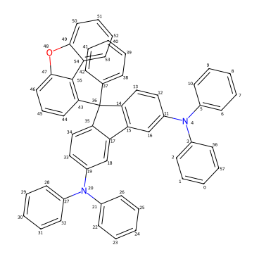 c1ccc(N(c2ccccc2)c2ccc3c(c2)-c2cc(N(c4ccccc4)c4ccccc4)ccc2C3(c2ccccc2)c2cccc3oc4ccccc4c23)cc1